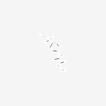 CCCS(=O)(=O)c1ccc(NC(=O)C(=O)NN)cc1